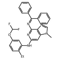 CCc1ccc(OC(F)F)cc1Nc1cc2c(ncn2C)c(N=C(c2ccccc2)c2ccccc2)n1